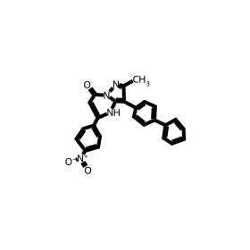 Cc1nn2c(=O)cc(-c3ccc([N+](=O)[O-])cc3)[nH]c2c1-c1ccc(-c2ccccc2)cc1